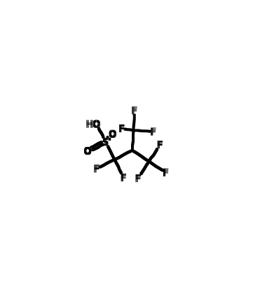 O=S(=O)(O)C(F)(F)C(C(F)(F)F)C(F)(F)F